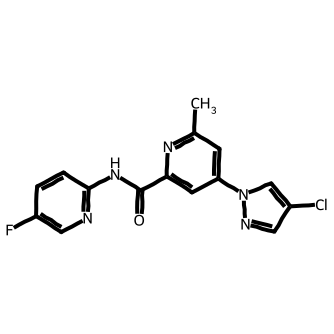 Cc1cc(-n2cc(Cl)cn2)cc(C(=O)Nc2ccc(F)cn2)n1